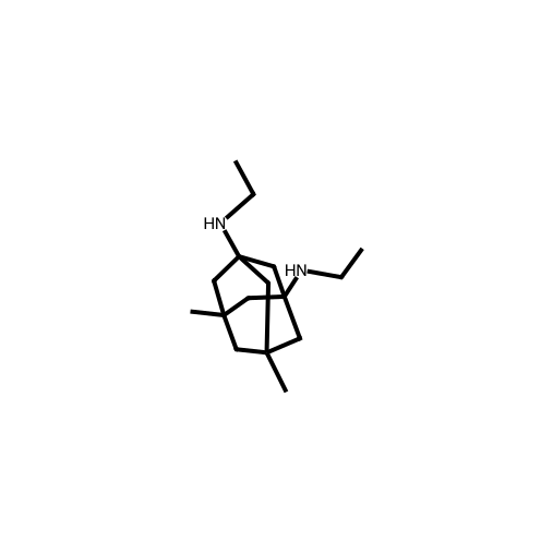 CCNC12CC3(C)CC(C)(C1)CC(NCC)(C3)C2